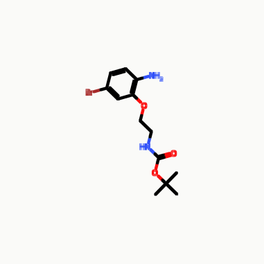 CC(C)(C)OC(=O)NCCOc1cc(Br)ccc1N